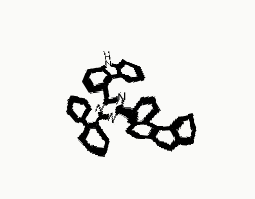 c1ccc(-c2ccccc2-c2nc(-c3cccc4c3ccc3ccc5ccccc5c34)nc(-c3cccc4[nH]c5ccccc5c34)n2)cc1